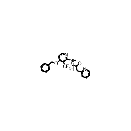 O=C(Cc1ccccn1)NNc1nccc(OCc2ccccc2)c1C(F)(F)F